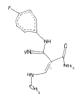 CN/C=C(\C(=N)Nc1ccc(F)cc1)C(N)=O